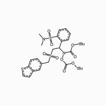 CN(C)S(=O)(=O)c1ccccc1C(CS(=O)(=O)Cc1ccc2sccc2c1)N(OC(=O)OC(C)(C)C)C(=O)OC(C)(C)C